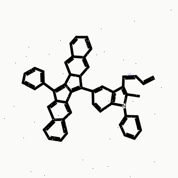 C=C/C=C\c1c(C)n(-c2ccccc2)c2ccc(C3=C4C(=C(c5ccccc5)c5cc6ccccc6cc54)C4C=c5ccccc5=CC34)cc12